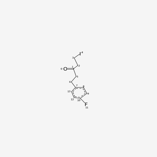 O=C(CCI)CCc1ccc(F)cc1